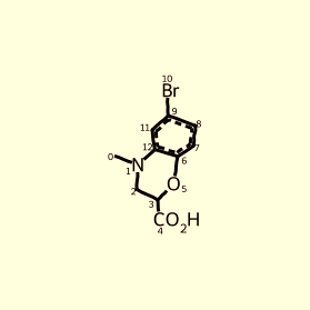 CN1CC(C(=O)O)Oc2ccc(Br)cc21